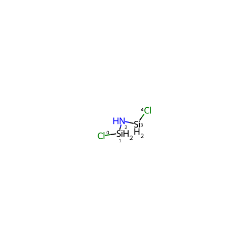 Cl[SiH2]N[SiH2]Cl